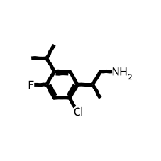 CC(C)c1cc(C(C)CN)c(Cl)cc1F